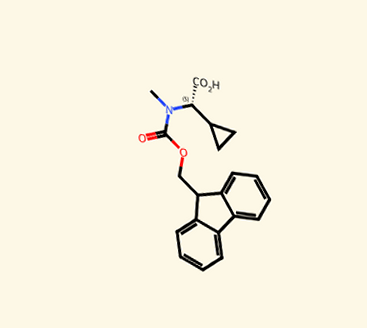 CN(C(=O)OCC1c2ccccc2-c2ccccc21)[C@H](C(=O)O)C1CC1